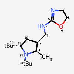 C[C@@H]1[C@@H](CNC2=NCCO2)C[C@@H](C(C)(C)C)N1C(C)(C)C